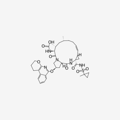 C[C@@H]1CCC=C[C@@H]2C[C@@]2(C(=O)NS(=O)(=O)C2(C)CC2)NC(=O)[C@@H]2C[C@@H](Oc3nc4c(c5ccccc35)CCCO4)CN2C(=O)[C@@H](NC(=O)O)[C@H](C)C1